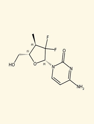 C[C@@H]1[C@@H](CO)O[C@@H](n2ccc(N)nc2=O)C1(F)F